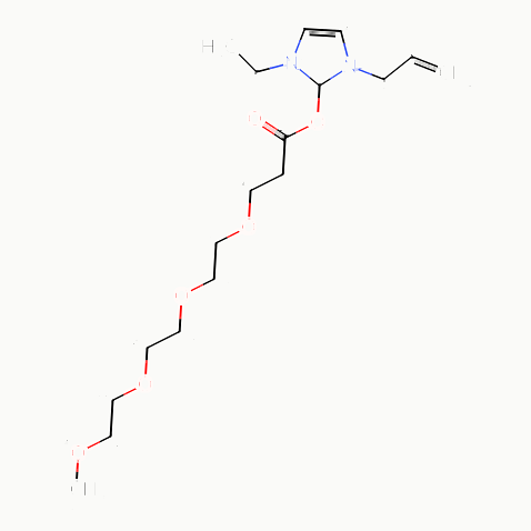 C=CCN1C=CN(CC)C1OC(=O)CCOCCOCCOCCOC